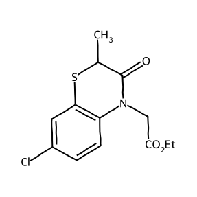 CCOC(=O)CN1C(=O)C(C)Sc2cc(Cl)ccc21